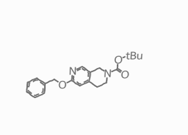 CC(C)(C)OC(=O)N1CCc2cc(OCc3ccccc3)ncc2C1